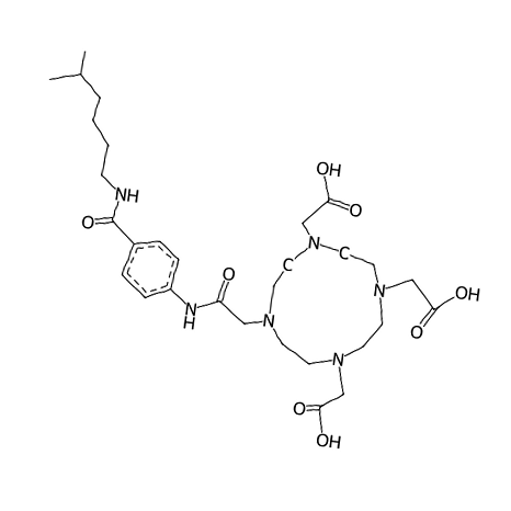 CC(C)CCCCNC(=O)c1ccc(NC(=O)CN2CCN(CC(=O)O)CCN(CC(=O)O)CCN(CC(=O)O)CC2)cc1